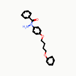 NN(C(=O)c1ccccc1)c1ccc(OCCCCOc2ccccc2)cc1